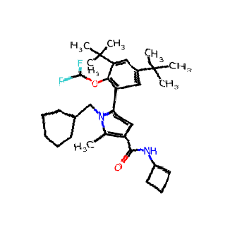 Cc1c(C(=O)NC2CCC2)cc(-c2cc(C(C)(C)C)cc(C(C)(C)C)c2OC(F)F)n1CC1CCCCC1